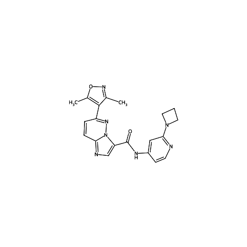 Cc1noc(C)c1-c1ccc2ncc(C(=O)Nc3ccnc(N4CCC4)c3)n2n1